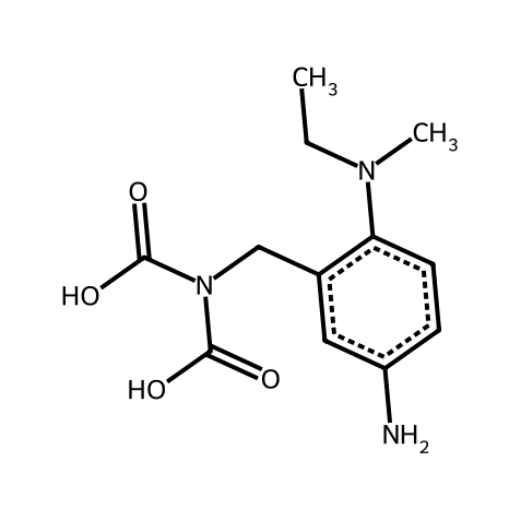 CCN(C)c1ccc(N)cc1CN(C(=O)O)C(=O)O